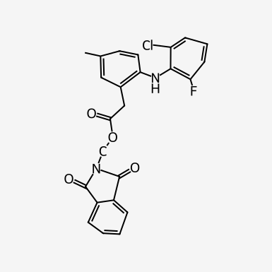 Cc1ccc(Nc2c(F)cccc2Cl)c(CC(=O)OCN2C(=O)c3ccccc3C2=O)c1